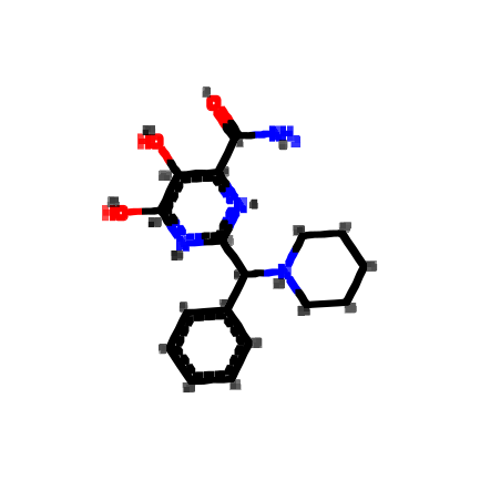 NC(=O)c1nc(C(c2ccccc2)N2CCCCC2)nc(O)c1O